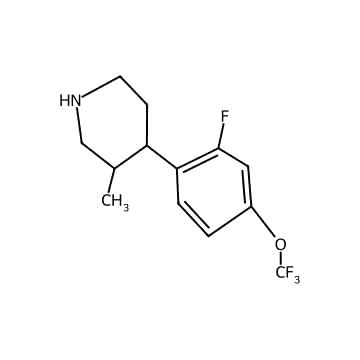 CC1CNCCC1c1ccc(OC(F)(F)F)cc1F